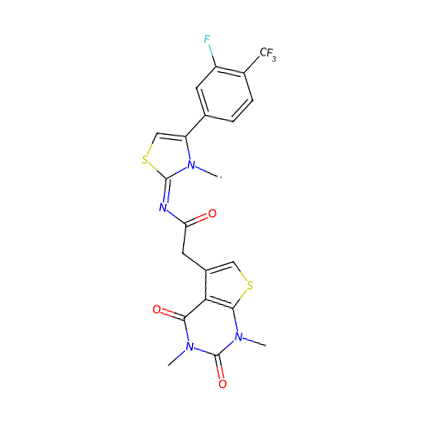 [CH2]n1c(-c2ccc(C(F)(F)F)c(F)c2)csc1=NC(=O)Cc1csc2c1c(=O)n(C)c(=O)n2C